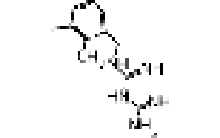 Cc1c(I)cccc1CNC(=N)NC(=N)N